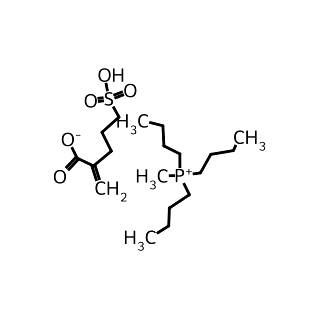 C=C(CCCS(=O)(=O)O)C(=O)[O-].CCCC[P+](C)(CCCC)CCCC